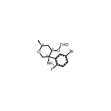 C[C@H]1C[C@@H](OC=O)[C@](N)(c2cc(Br)ccc2F)CO1